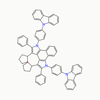 c1ccc(-c2c(C3CCCC3)c3c4c(C5CCCC5)c(-c5ccccc5)n(-c5ccc(-n6c7ccccc7c7ccccc76)cc5)c4c4ccccc4c3n2-c2ccc(-n3c4ccccc4c4ccccc43)cc2)cc1